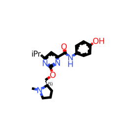 CC(C)c1cc(C(=O)Nc2ccc(O)cc2)nc(OC[C@@H]2CCCN2C)n1